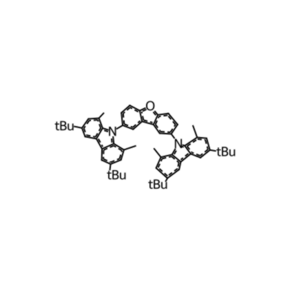 Cc1cc(C(C)(C)C)cc2c3cc(C(C)(C)C)cc(C)c3n(-c3ccc4oc5ccc(-n6c7c(C)cc(C(C)(C)C)cc7c7cc(C(C)(C)C)cc(C)c76)cc5c4c3)c12